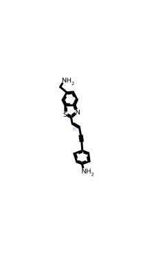 NCc1ccc2nc(/C=C/C#Cc3ccc(N)cc3)sc2c1